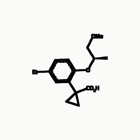 CCc1ccc(O[C@H](C)COC)c(C2(C(=O)O)CC2)c1